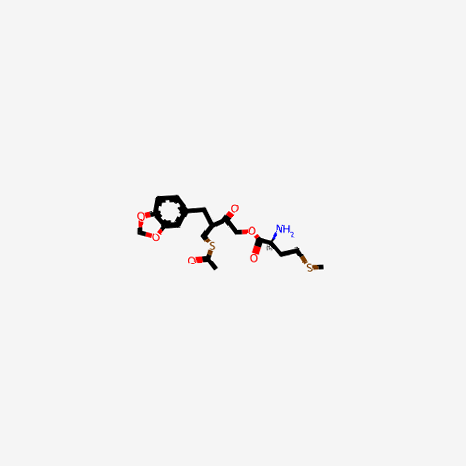 CSCC[C@H](N)C(=O)OCC(=O)C(CSC(C)=O)Cc1ccc2c(c1)OCO2